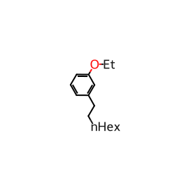 CCCCCCCCc1cccc(OCC)c1